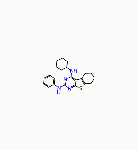 c1ccc(Nc2nc(NC3CCCCC3)c3c4c(sc3n2)CCCC4)cc1